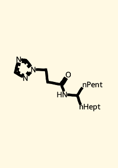 CCCCCCCC(CCCCC)NC(=O)CCn1cncn1